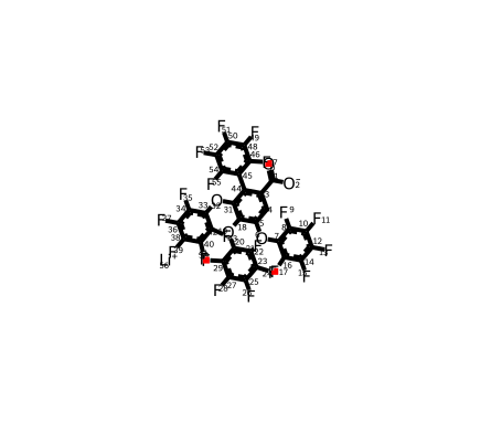 O=C([O-])c1cc(Oc2c(F)c(F)c(F)c(F)c2F)c(Oc2c(F)c(F)c(F)c(F)c2F)c(Oc2c(F)c(F)c(F)c(F)c2F)c1-c1c(F)c(F)c(F)c(F)c1F.[Li+]